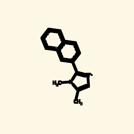 CC1=C[N+]=C(c2ccc3ccccc3c2)N1C